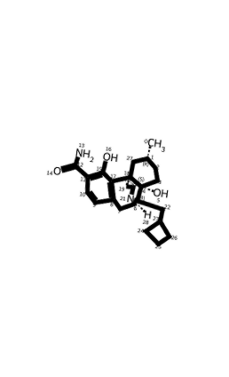 C[C@@H]1CC[C@@]2(O)[C@H]3Cc4ccc(C(N)=O)c(O)c4[C@@]2(CCN3CC2CCC2)C1